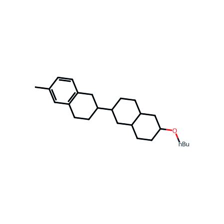 CCCCOC1CCC2CC(C3CCc4cc(C)ccc4C3)CCC2C1